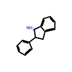 N.c1ccc(C2Cc3ccccc3C2)cc1